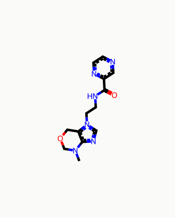 CN1COCc2c1ncn2CCNC(=O)c1cnccn1